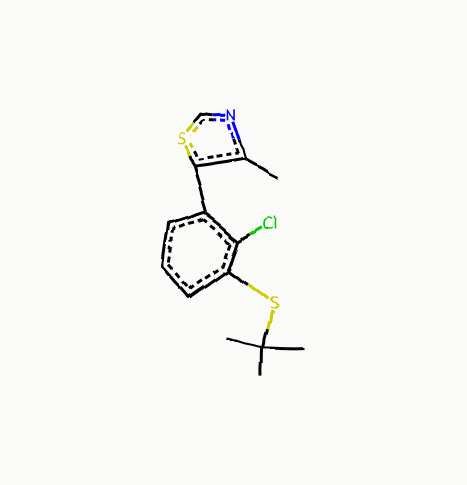 Cc1ncsc1-c1cccc(SC(C)(C)C)c1Cl